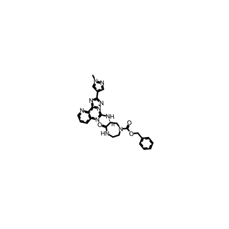 Cn1cc(-c2nc3c4ncccc4nc(N[C@@H]4CN(C(=O)OCc5ccccc5)CCNC4=O)n3n2)cn1